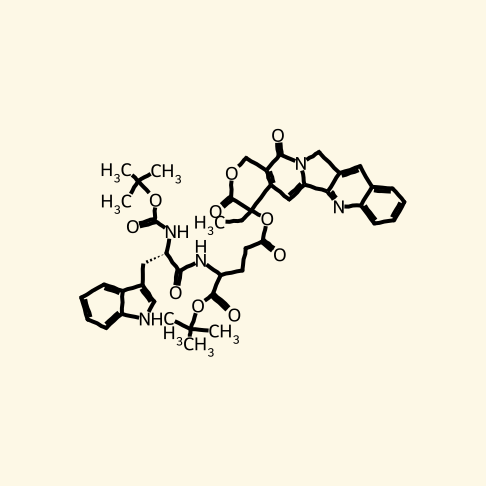 CCC1(OC(=O)CCC(NC(=O)[C@H](Cc2c[nH]c3ccccc23)NC(=O)OC(C)(C)C)C(=O)OC(C)(C)C)C(=O)OCc2c1cc1n(c2=O)Cc2cc3ccccc3nc2-1